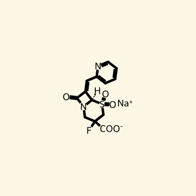 O=C1C(=Cc2ccccn2)[C@@H]2N1CC(F)(C(=O)[O-])CS2(=O)=O.[Na+]